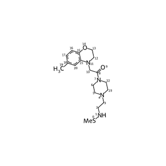 CSNCCN1CCN(C(=O)CN2CCOc3ccc(C)cc32)CC1